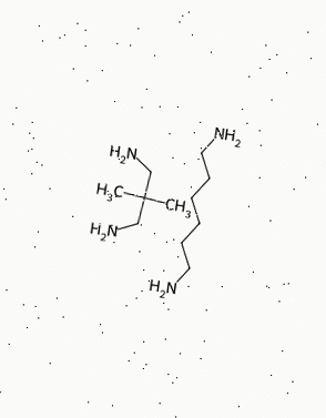 CC(C)(CN)CN.NCCCCCCN